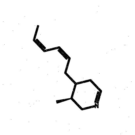 C/C=C\C=C/CC1CC=NC[C@H]1C